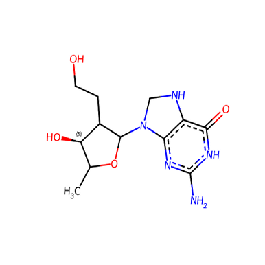 CC1OC(N2CNc3c2nc(N)[nH]c3=O)C(CCO)[C@@H]1O